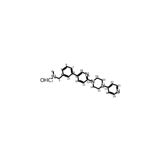 CN(C=O)Cc1cccc(-c2ccc(N3CCN(c4ccncc4)CC3)nc2)c1